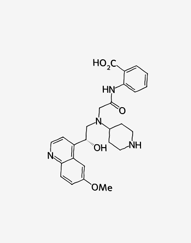 COc1ccc2nccc([C@@H](O)CN(CC(=O)Nc3ccccc3C(=O)O)C3CCNCC3)c2c1